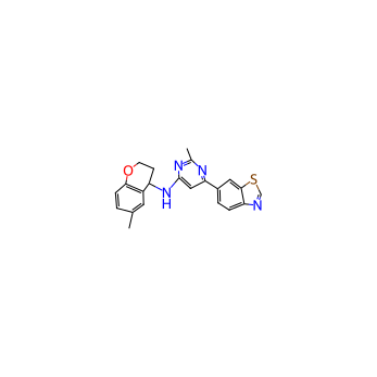 Cc1ccc2c(c1)C(Nc1cc(-c3ccc4ncsc4c3)nc(C)n1)CCO2